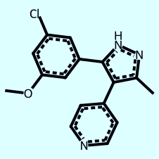 COc1cc(Cl)cc(-c2[nH]nc(C)c2-c2ccncc2)c1